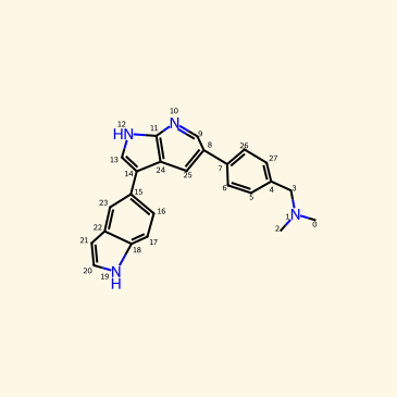 CN(C)Cc1ccc(-c2cnc3[nH]cc(-c4ccc5[nH]ccc5c4)c3c2)cc1